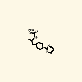 CCCCOC(=O)NC(C)CC1CCN(c2ncccn2)CC1